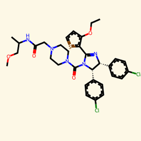 CCOc1ccsc1C1=N[C@H](c2ccc(Cl)cc2)[C@H](c2ccc(Cl)cc2)N1C(=O)N1CCN(CC(=O)NC(C)COC)CC1